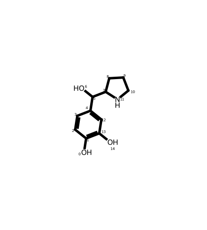 Oc1ccc(C(O)C2CCCN2)cc1O